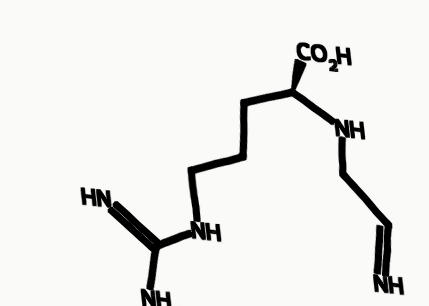 N=CCN[C@@H](CCCNC(=N)N)C(=O)O